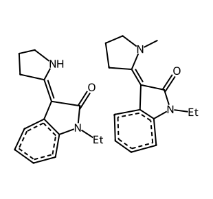 CCN1C(=O)C(=C2CCCN2)c2ccccc21.CCN1C(=O)C(=C2CCCN2C)c2ccccc21